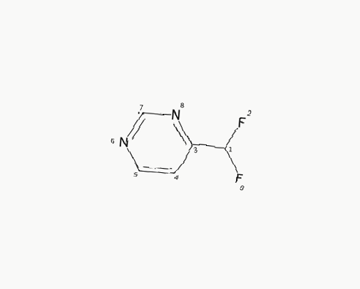 FC(F)c1ccn[c]n1